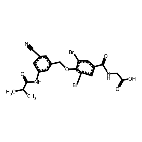 CC(C)C(=O)Nc1cc(C#N)cc(COc2c(Br)cc(C(=O)NCC(=O)O)cc2Br)c1